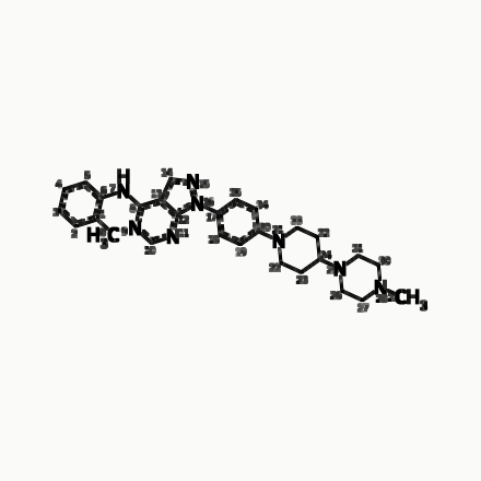 Cc1ccccc1Nc1ncnc2c1cnn2-c1ccc(N2CCC(N3CCN(C)CC3)CC2)cc1